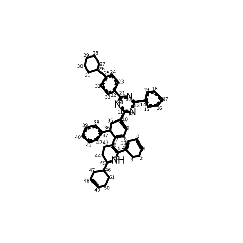 C1=CCCC(C2=C(C3=CC=C(c4nc(-c5ccccc5)nc(-c5ccc(C6CCCCC6)cc5)n4)CC3c3ccccc3)CCC(C3CC=CCC3)N2)=C1